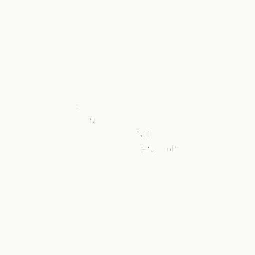 CCCNNCCNCC